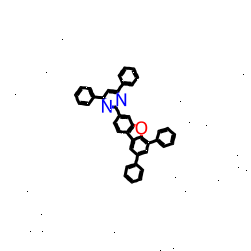 c1ccc(-c2cc(-c3ccccc3)c3oc4cc(-c5nc(-c6ccccc6)cc(-c6ccccc6)n5)ccc4c3c2)cc1